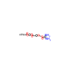 CCCCCCC(=O)Oc1ccc(OC(=O)C=Cc2ccc(OCCCOC(=O)c3cc(N)cc(N)c3)cc2)cc1